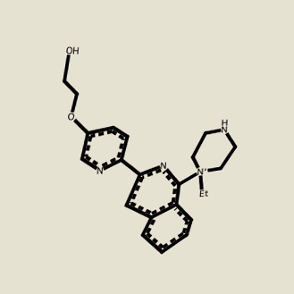 CC[N+]1(c2nc(-c3ccc(OCCO)cn3)cc3ccccc23)CCNCC1